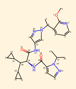 COc1ncccc1C(C)n1cc(NC(=O)[C@@H](NC(=O)c2ccnn2C(C)C)C(C2CC2)C2CC2)cn1